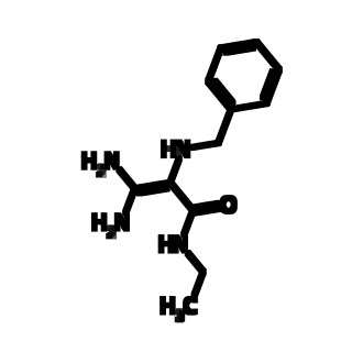 CCNC(=O)C(NCc1ccccc1)=C(N)N